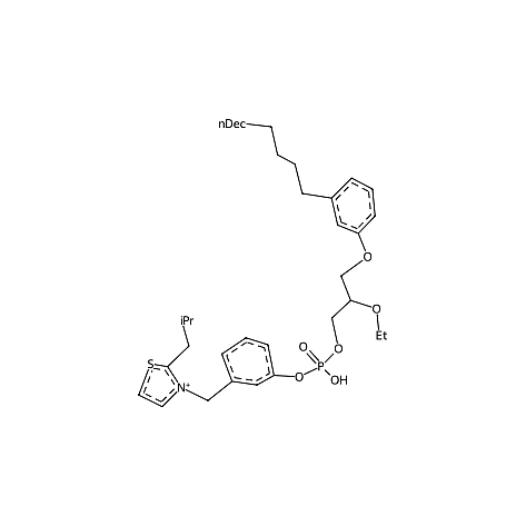 CCCCCCCCCCCCCCc1cccc(OCC(COP(=O)(O)Oc2cccc(C[n+]3ccsc3CC(C)C)c2)OCC)c1